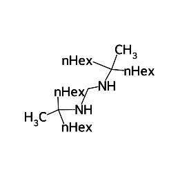 CCCCCCC(C)(CCCCCC)NCNC(C)(CCCCCC)CCCCCC